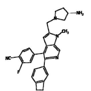 Cn1c(CN2CC[C@H](N)C2)cc2c(-c3ccc(C#N)c(F)c3)c(-c3ccc4c(c3)CC4)ncc21